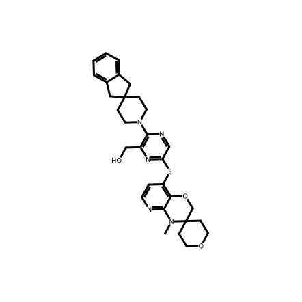 CN1c2nccc(Sc3cnc(N4CCC5(CC4)Cc4ccccc4C5)c(CO)n3)c2OCC12CCOCC2